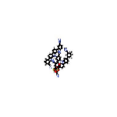 N#Cc1cccc(-c2ccc3c4ccc(-c5cccc(C#N)c5)cc4n(-c4cc(-c5ccc(C(F)(F)F)cc5C#N)c(-n5c6cc(-c7cccc(C#N)c7)ccc6c6ccc(-c7cccc(C#N)c7)cc65)cc4C#N)c3c2)c1